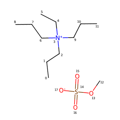 CCC[N+](CC)(CCC)CCC.COS(=O)(=O)[O-]